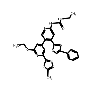 CCNC(=O)Nc1cc(-c2nc(-c3ccccc3)cs2)c(-c2cc(OCC)nc(-c3nnc(C)o3)c2)cn1